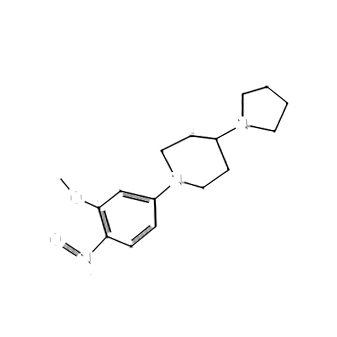 COc1cc(N2CCC(N3CCCC3)CC2)ccc1N=O